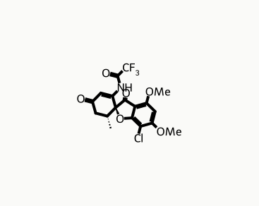 COc1cc(OC)c2c(c1Cl)O[C@]1(C2=O)C(NC(=O)C(F)(F)F)=CC(=O)C[C@H]1C